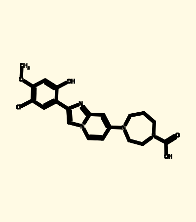 COc1cc(O)c(-c2cn3ccc(N4CCCN(C(=O)O)CC4)cc3n2)cc1Cl